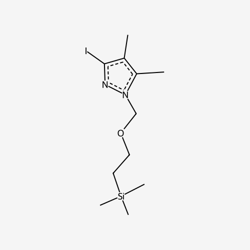 Cc1c(I)nn(COCC[Si](C)(C)C)c1C